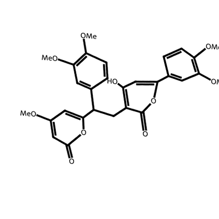 COc1cc(C(Cc2c(O)cc(-c3ccc(OC)c(OC)c3)oc2=O)c2ccc(OC)c(OC)c2)oc(=O)c1